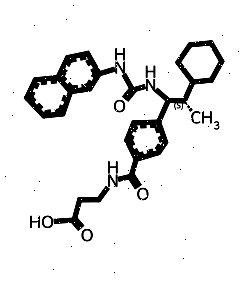 C[C@@H](C1CCCCC1)C(NC(=O)Nc1ccc2ccccc2c1)c1ccc(C(=O)NCCC(=O)O)cc1